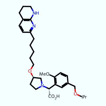 COc1ccc(COC(C)C)cc1[C@H](C(=O)O)N1CC[C@@H](OCCCCCc2ccc3c(n2)NCCC3)C1